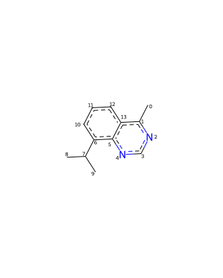 Cc1ncnc2c(C(C)C)cccc12